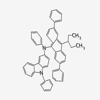 CCC(CC)c1c2cc(-c3ccccc3)ccc2c(N(c2ccccc2)c2ccc3c(c2)c2ccccc2n3-c2ccccc2)c2cc(-c3ccccc3)ccc12